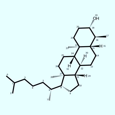 CC(C)CCC[C@@H](C)[C@H]1CC[C@H]2[C@@H]3CC[C@H]4[C@H](C)[C@@H](O)CC[C@]4(C)[C@H]3CC[C@]12C